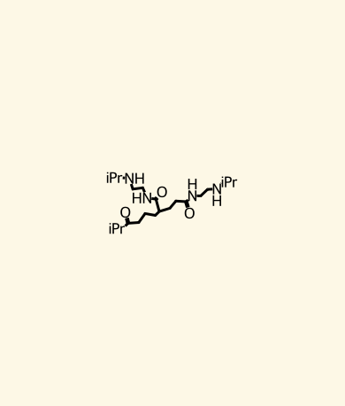 CC(C)NCCNC(=O)CCC(CCCC(=O)C(C)C)C(=O)NCCNC(C)C